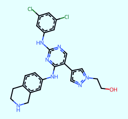 OCCn1cc(-c2cnc(Nc3cc(Cl)cc(Cl)c3)nc2Nc2ccc3c(c2)CNCC3)cn1